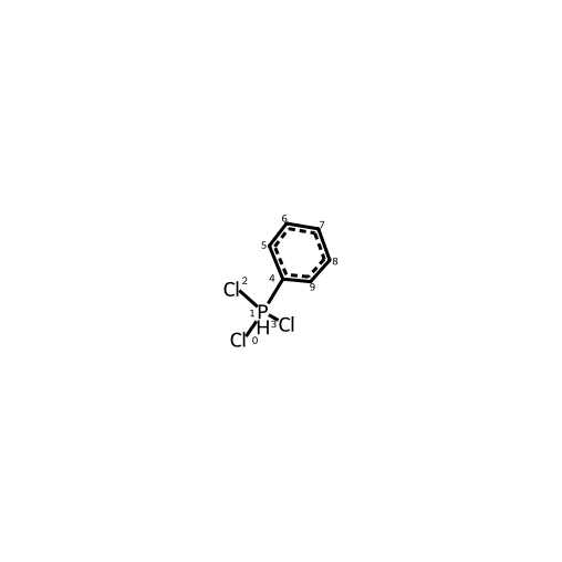 Cl[PH](Cl)(Cl)c1ccccc1